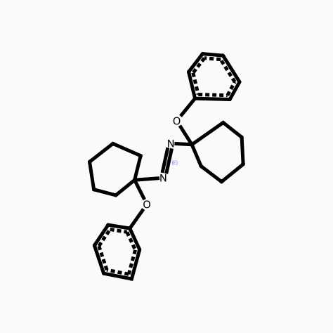 c1ccc(OC2(/N=N/C3(Oc4ccccc4)CCCCC3)CCCCC2)cc1